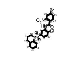 O=C(Nc1cc(S(=O)(=O)N2CCCc3ccccc32)ccc1Cl)c1ccc(Br)cc1[N+](=O)[O-]